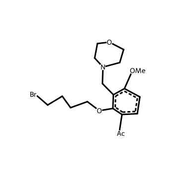 COc1ccc(C(C)=O)c(OCCCCBr)c1CN1CCOCC1